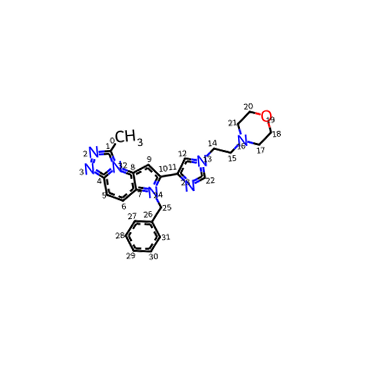 Cc1nnc2ccc3c(cc(-c4cn(CCN5CCOCC5)cn4)n3Cc3ccccc3)n12